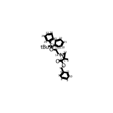 CC1(C(=O)OCc2ccccc2)C[N@]1CCO[Si](c1ccccc1)(c1ccccc1)C(C)(C)C